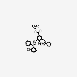 C.CCN(Cc1cc(C(=O)OCCOC(C)=O)cc(Br)c1N)C1CCCC1.O=C(c1ccccc1)c1ccccc1